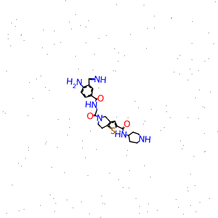 N=Cc1cc(C(=O)NCC(=O)N2CCc3sc(C(=O)NC4CCNCC4)cc3C2)ccc1N